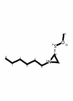 CCCCCCN1C[C@H]1SOC